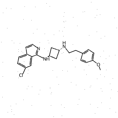 COc1ccc(CCN[C@H]2C[C@H](Nc3nccc4ccc(Cl)cc34)C2)cc1